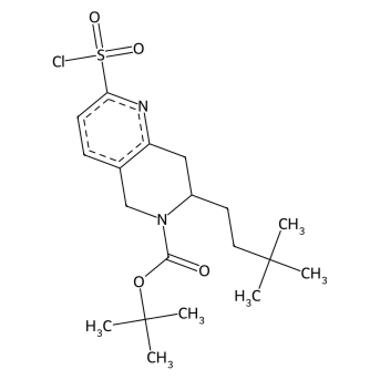 CC(C)(C)CCC1Cc2nc(S(=O)(=O)Cl)ccc2CN1C(=O)OC(C)(C)C